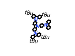 CC(C)(C)c1ccc2c(c1)c1cc(C(C)(C)C)ccc1n2-c1ccc2c3ccc(-n4c5ccc(C(C)(C)C)cc5c5cc(C(C)(C)C)ccc54)cc3n(-c3ccc(-n4c5ccccc5c5ccccc54)cc3)c2c1